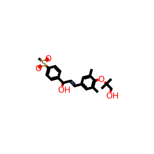 Cc1cc(/C=C/C(O)c2ccc(S(C)(=O)=O)cc2)cc(C)c1OC(C)(C)CO